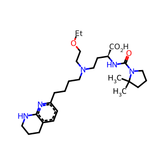 CCOCCN(CCCCc1ccc2c(n1)NCCC2)CC[C@H](NC(=O)N1CCCC1(C)C)C(=O)O